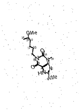 CNc1nc2c([nH]1)c(=O)n(CCCC[C@@H](C)OC)c(=O)n2C